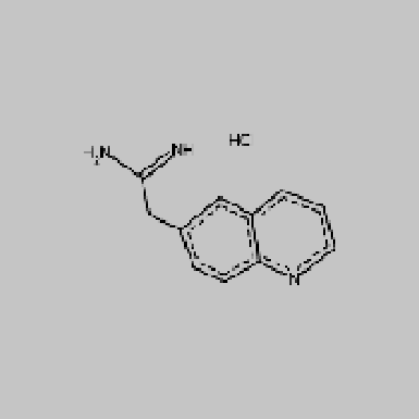 Cl.N=C(N)Cc1ccc2ncccc2c1